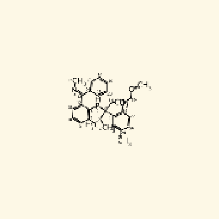 CCC(CC)(Pc1c(C)cccc1/C(=N/C)c1ccccc1)c1cc(C)ccc1OCOC